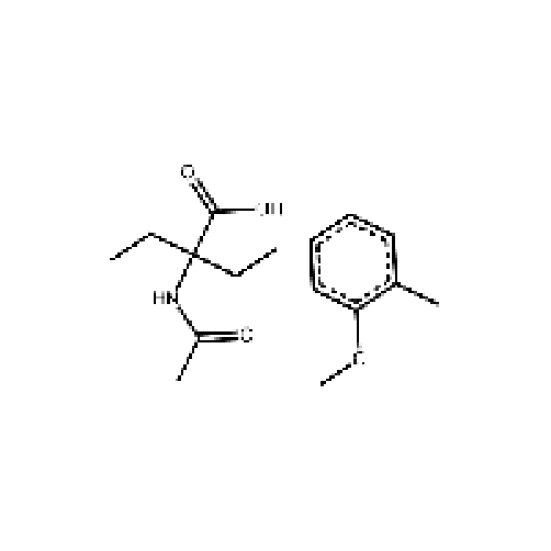 CCC(CC)(NC(C)=O)C(=O)O.COc1ccccc1C